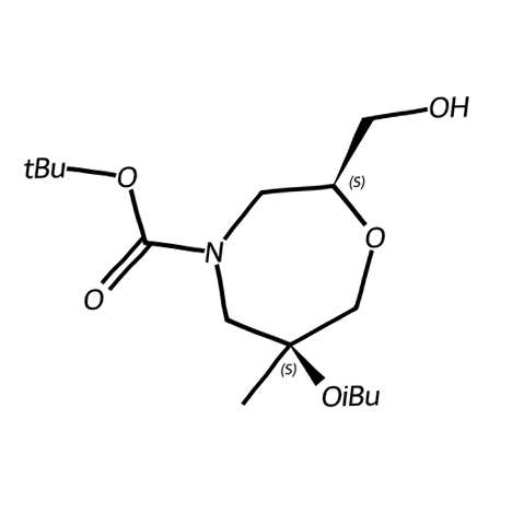 CC(C)CO[C@]1(C)CO[C@H](CO)CN(C(=O)OC(C)(C)C)C1